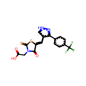 O=C(O)CN1C(=O)/C(=C/c2c[nH]nc2-c2ccc(C(F)(F)F)cc2)SC1=S